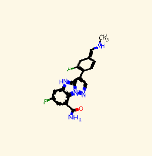 CNC=C1C=CC(c2cnn3c2[nH]c2cc(F)cc(C(N)=O)c23)=C(F)C1